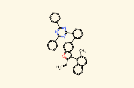 C=Cc1oc2ccc(-c3ccccc3-c3nc(-c4ccccc4)nc(-c4ccccc4)n3)cc2c1-c1c(C)ccc2ccccc12